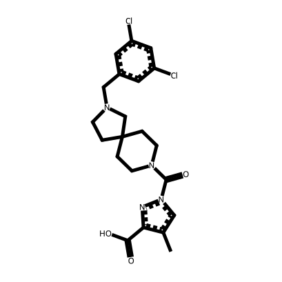 Cc1cn(C(=O)N2CCC3(CCN(Cc4cc(Cl)cc(Cl)c4)C3)CC2)nc1C(=O)O